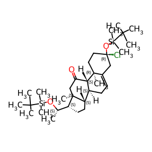 C[C@H](O[Si](C)(C)C(C)(C)C)[C@H]1CC[C@H]2[C@@H]3CC=C4C[C@@](Cl)(O[Si](C)(C)C(C)(C)C)CC[C@]4(C)[C@H]3C(=O)C[C@]12C